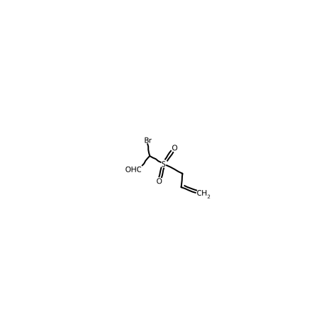 C=CCS(=O)(=O)C(Br)C=O